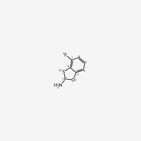 NP1Oc2cccc(F)c2S1